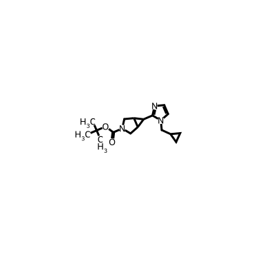 CC(C)(C)OC(=O)N1CC2C(C1)C2c1nccn1CC1CC1